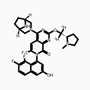 [2H]C([2H])(Oc1nc(N2C[C@H]3CC[C@@H](C2)N3)c2cc(C(F)(F)F)n(-c3cc(O)cc4ccc(F)c(F)c34)c(=O)c2n1)[C@@H]1CCCN1C